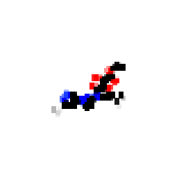 CC(C)(C)OC(=O)C(O)[C@H]1OC(C)(C)CN(c2ccn(-c3cnnc(C(F)(F)F)c3)n2)C1=O